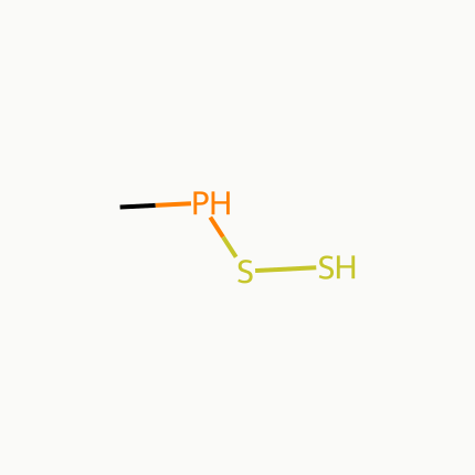 CPSS